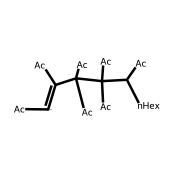 CCCCCCC(C(C)=O)C(C(C)=O)(C(C)=O)C(C(C)=O)(C(C)=O)/C(=[C]/C(C)=O)C(C)=O